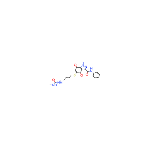 CNC(=O)NCCCCCSC1=CC(=O)c2[nH]nc(C(=O)Nc3ccccc3)c2C1=O